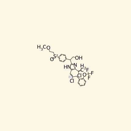 C=C(Cl)c1nc(C(CO)c2ccc([S+]([O-])CCOC)cc2)[nH]c1/C=C(/Cl)Cc1ccccc1OC(F)(F)F